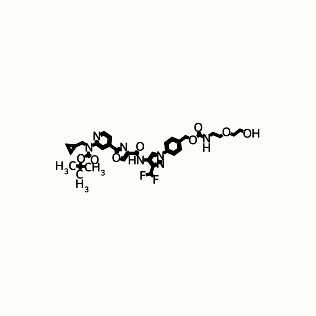 CC(C)(C)OC(=O)N(CC1CC1)c1cc(-c2nc(C(=O)Nc3cn(-c4ccc(COC(=O)NCCOCCO)cc4)nc3C(F)F)co2)ccn1